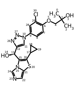 CC(C)(O)COc1ccc(-n2cc([C@H](O)c3c(C4CC4)sc4cncn34)nn2)cc1Cl